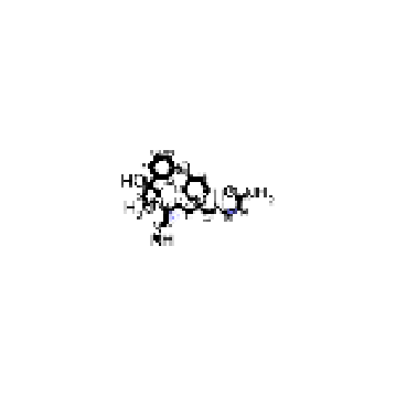 CC[C@@](O)(CN/C(=C\N=N)CCCCN/C=C\C(N)=O)c1cccc(OC2CCOCC2)c1